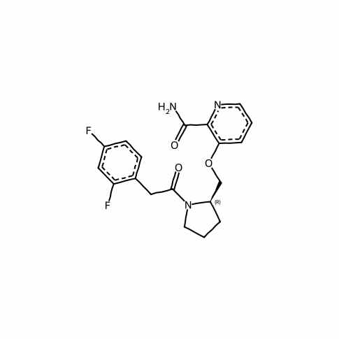 NC(=O)c1ncccc1OC[C@H]1CCCN1C(=O)Cc1ccc(F)cc1F